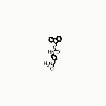 N[C@H](C=O)Cc1ccc(NC(=O)OCC2c3ccccc3-c3ccccc32)cc1